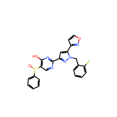 [O-][S+](c1ccccc1)c1cnc(-c2cc(-c3ccon3)n(Cc3ccccc3F)n2)nc1O